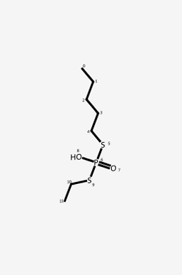 CCCCCSP(=O)(O)SCC